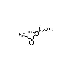 CCCCCC1(CCc2ccc(NCCCC)cc2C)CCCCC1